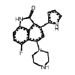 O=C1Nc2ccc(F)c3c(N4CCNCC4)cc(-c4ccc[nH]4)c1c23